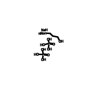 CCCCCCCCCCCCO.O=P(O)(O)O.O=P(O)(O)O.[NaH]